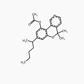 CCCCC(C)c1cc(OC(C)=O)c2c(c1)OC(C)(C)c1ccncc1-2